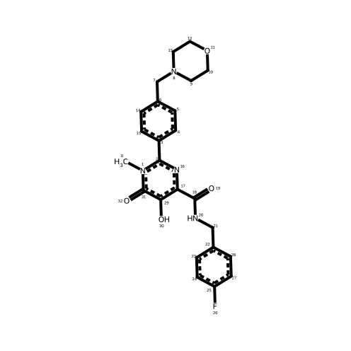 Cn1c(-c2ccc(CN3CCOCC3)cc2)nc(C(=O)NCc2ccc(F)cc2)c(O)c1=O